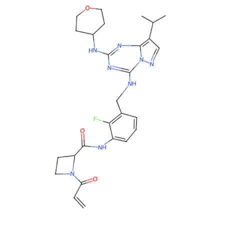 C=CC(=O)N1CCC1C(=O)Nc1cccc(CNc2nc(NC3CCOCC3)nc3c(C(C)C)cnn23)c1F